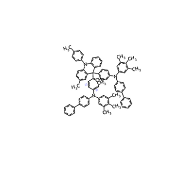 C=C(/C=C\C(=C/C)N(c1ccc(-c2ccccc2)cc1)c1cc(C)c(C)c(C)c1)C1(c2ccc(N(c3ccc(-c4ccccc4)cc3)c3cc(C)c(C)c(C)c3)cc2)c2ccccc2N(c2ccc(C)cc2)c2ccc(C)cc21